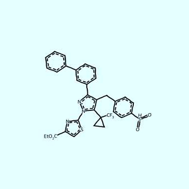 CCOC(=O)c1csc(-n2nc(-c3cccc(-c4ccccc4)c3)c(Cc3ccc([SH](=O)=O)cc3)c2C2(C(F)(F)F)CC2)n1